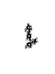 CCC(C)/N=C(\NCc1ccc(OCc2ncc(C)cc2F)cc1C)c1ccc(F)nc1